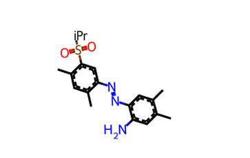 Cc1cc(N)c(/N=N/c2cc(S(=O)(=O)C(C)C)c(C)cc2C)cc1C